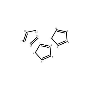 C1=CCC=C1.C1=CCC=C1.C=C.C=CC